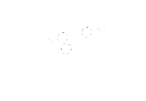 CC(Cc1ccccc1)(c1ccc(N)cc1)c1ccc(N)cc1